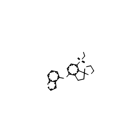 O=S(=O)(CF)c1ccc(Oc2cccc3sccc23)c2c1C1(CC2)OCCO1